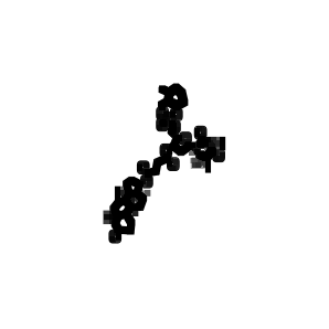 Cc1cccc2c1COP(=O)(OC[C@H]1O[C@@H](n3cc([125I])c(=O)[nH]c3=O)CC1OC(=O)CCC(=O)O[C@H]1CC[C@H]3[C@@H]4CC[C@H]5CC(=O)CC[C@]5(C)C4CC[C@]13C)O2